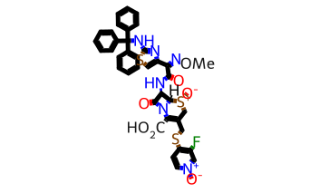 CO/N=C(\C(=O)N[C@@H]1C(=O)N2C(C(=O)O)=C(CSc3cc[n+]([O-])cc3F)C[S+]([O-])[C@H]12)c1csc(NC(c2ccccc2)(c2ccccc2)c2ccccc2)n1